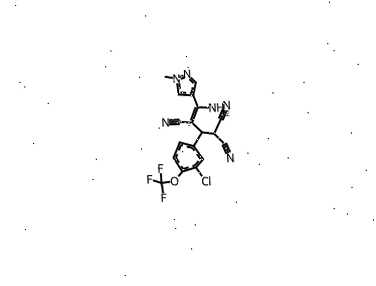 Cn1cc(/C(N)=C(\C#N)C(c2ccc(OC(F)(F)F)c(Cl)c2)C(C#N)C#N)cn1